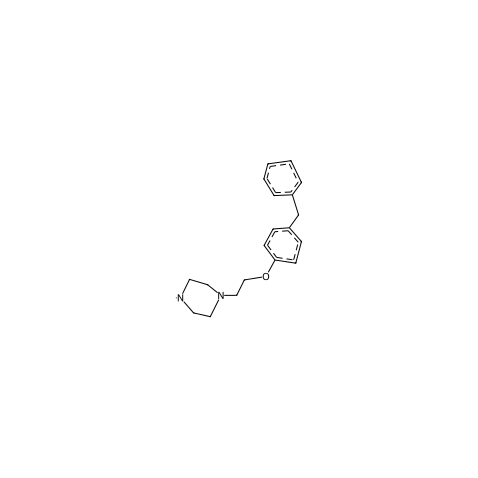 c1ccc(Cc2ccc(OCCN3CC[N]CC3)cc2)cc1